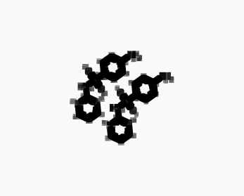 Nc1ccc(S(=O)(=O)Nc2ncccn2)cc1.Nc1ccc(S(=O)(=O)Nc2ncccn2)cc1